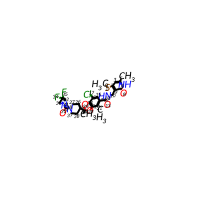 CSc1cc(C)[nH]c(=O)c1CNC(=O)c1cc(Cl)c2c(c1C)OC(C)(C1CCN(C(=O)N3CC(F)(F)C3)CC1)O2